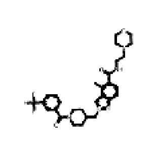 Cc1c(C(=O)NCCN2CCOCC2)ccc2nn(CC3CCN(C(=O)c4cccc(C(F)(F)F)c4)CC3)cc12